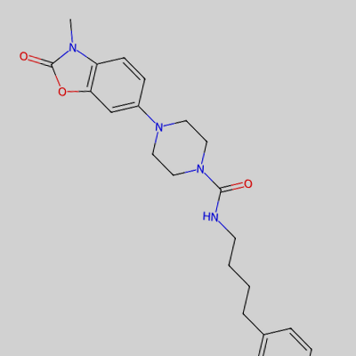 Cn1c(=O)oc2cc(N3CCN(C(=O)NCCCCc4ccccc4)CC3)ccc21